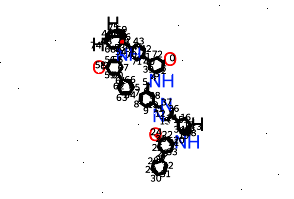 O=C1C=C(NCc2cccc(-c3ncc(C4C[C@H]5CC(NC6=CC(=O)CC(c7ccccc7)C6)C4C5)cn3)c2)CC(c2ccc(C3C4C[C@@H]5C[C@@H](CCC3(NC3=CC(=O)CC(c6ccccc6)C3)C5)C4)cc2)C1